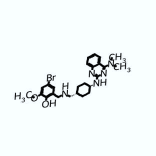 COc1cc(Br)cc(CNC[C@H]2CC[C@@H](Nc3nc(N(C)C)c4ccccc4n3)CC2)c1O